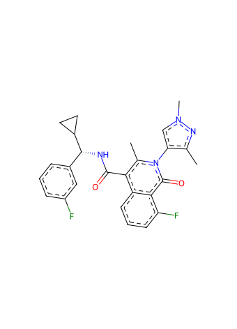 Cc1nn(C)cc1-n1c(C)c(C(=O)N[C@H](c2cccc(F)c2)C2CC2)c2cccc(F)c2c1=O